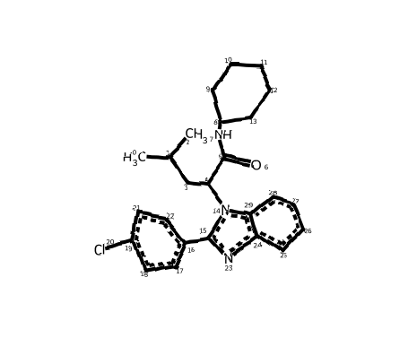 CC(C)CC(C(=O)NC1CCCCC1)n1c(-c2ccc(Cl)cc2)nc2ccccc21